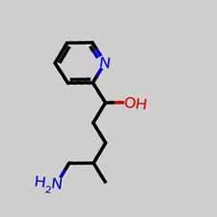 CC(CN)CCC(O)c1ccccn1